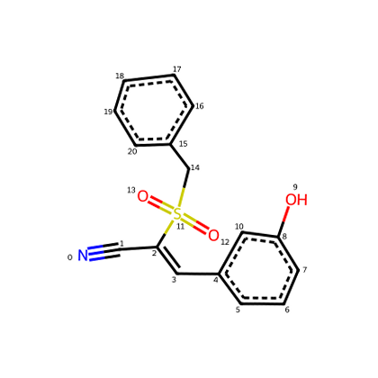 N#CC(=Cc1cccc(O)c1)S(=O)(=O)Cc1ccccc1